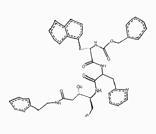 CC(C)C[C@H](NC(=O)C(Cc1ccccn1)NC(=O)[C@H](Cc1cccc2ccccc12)NC(=O)OCc1ccccc1)[C@@H](O)CC(=O)NCCc1ccccn1